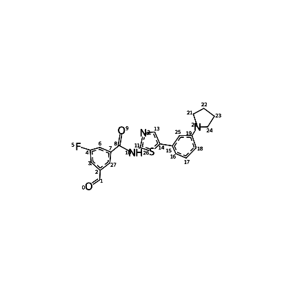 O=Cc1[c]c(F)cc(C(=O)Nc2ncc(-c3cccc(N4CCCC4)c3)s2)c1